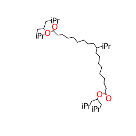 CC(C)CC(CC(C)C)OC(=O)CCCCCCCCC(CCCCCCCCC(=O)OC(CC(C)C)CC(C)C)C(C)C